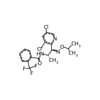 CC(C)O/N=C(\c1ncc(Cl)cc1Cl)[C@H](C)NC(=O)c1ccccc1C(F)(F)F